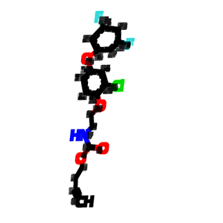 C#CCCOC(=O)NCCOc1ccc(Oc2cc(F)cc(F)c2)cc1Cl